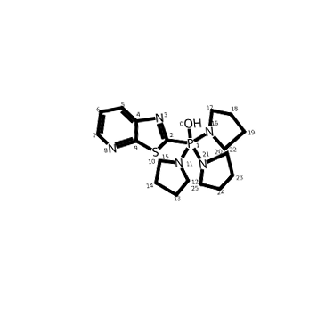 OP(c1nc2cccnc2s1)(N1CCCC1)(N1CCCC1)N1CCCC1